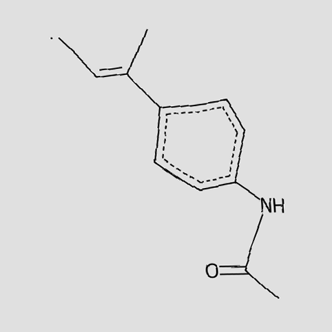 [CH2]C=C(C)c1ccc(NC(C)=O)cc1